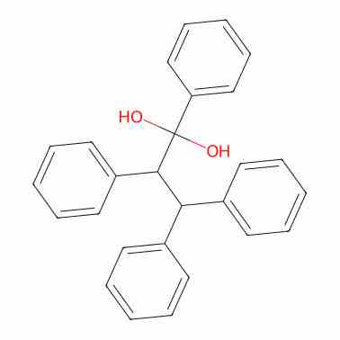 OC(O)(c1ccccc1)C(c1ccccc1)C(c1ccccc1)c1ccccc1